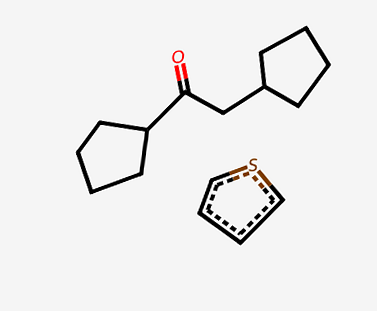 O=C(CC1CCCC1)C1CCCC1.c1ccsc1